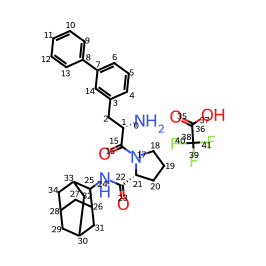 N[C@@H](Cc1cccc(-c2ccccc2)c1)C(=O)N1CCC[C@@H]1C(=O)NC1C2CC3CC(C2)CC1C3.O=C(O)C(F)(F)F